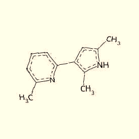 Cc1cccc(-c2cc(C)[nH]c2C)n1